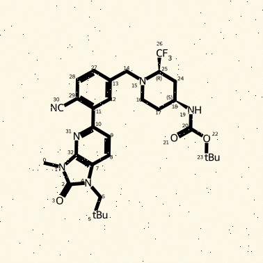 Cn1c(=O)n(CC(C)(C)C)c2ccc(-c3cc(CN4CC[C@H](NC(=O)OC(C)(C)C)C[C@@H]4C(F)(F)F)ccc3C#N)nc21